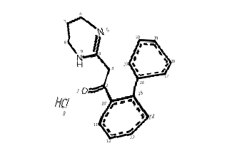 Cl.O=C(CC1=NCCCN1)c1ccccc1-c1ccccc1